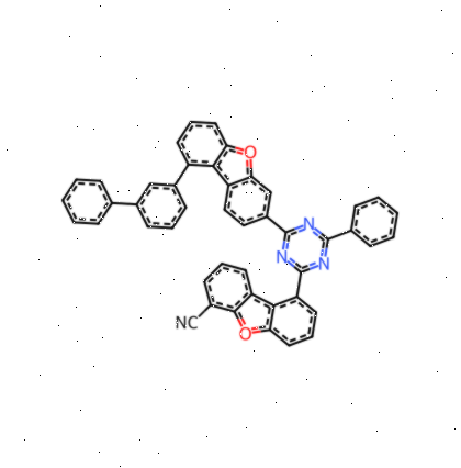 N#Cc1cccc2c1oc1cccc(-c3nc(-c4ccccc4)nc(-c4ccc5c(c4)oc4cccc(-c6cccc(-c7ccccc7)c6)c45)n3)c12